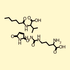 CCCCCC(=O)NC(C(=O)O)C(C)C.NC(=O)NCCCC(N)C(=O)O.O=C1C=CC(=O)N1